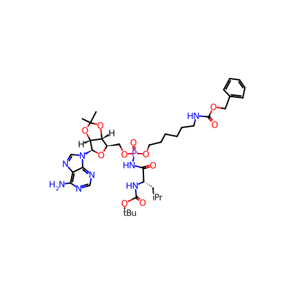 CC(C)C[C@H](NC(=O)OC(C)(C)C)C(=O)NP(=O)(OCCCCCCNC(=O)OCc1ccccc1)OC[C@H]1O[C@@H](n2cnc3c(N)ncnc32)[C@@H]2OC(C)(C)O[C@@H]21